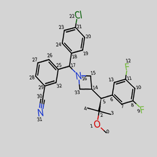 COC(C)(C)[C@H](c1cc(F)cc(F)c1)C1CN(C(c2ccc(Cl)cc2)c2cccc(C#N)c2)C1